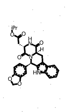 CC(C)OC(=O)C[C@@H]1NC(=O)[C@H]2Cc3c([nH]c4ccccc34)[C@@H](c3ccc4c(c3)OCO4)N2C1=O